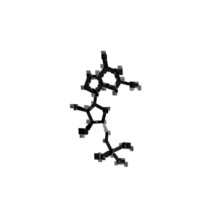 C=P(C)(C)CC[C@H]1OC(n2cnc3c(=O)[nH]c(N)nc32)[C@H](F)[C@@H]1O